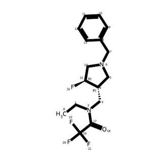 CCN(C[C@H]1CN(Cc2ccccc2)C[C@@H]1F)C(=O)C(F)(F)F